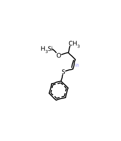 CC(/C=C\Sc1ccccc1)O[SiH3]